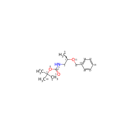 C[C@H](CNC(=O)OC(C)(C)C)OCc1ccccc1